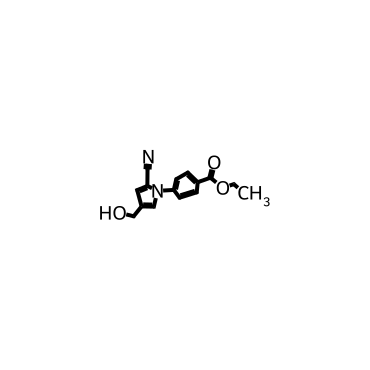 CCOC(=O)c1ccc(-n2cc(CO)cc2C#N)cc1